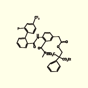 CCOC(=O)C(COC(=O)Cc1ccc(NC(=O)c2ccccc2-c2ccc(C(F)(F)F)cc2F)c(C(=O)N(C)C)c1)(C(=O)OCC)c1ccccc1